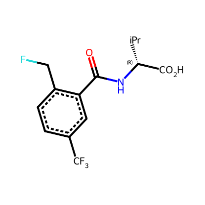 CC(C)[C@@H](NC(=O)c1cc(C(F)(F)F)ccc1CF)C(=O)O